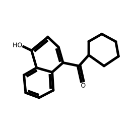 O=C(c1ccc(O)c2ccccc12)C1CCCCC1